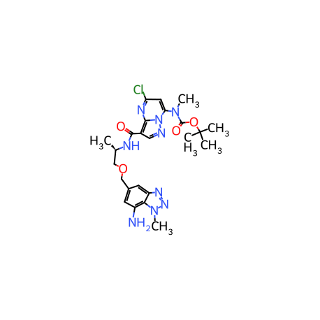 C[C@H](COCc1cc(N)c2c(c1)nnn2C)NC(=O)c1cnn2c(N(C)C(=O)OC(C)(C)C)cc(Cl)nc12